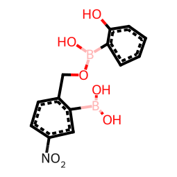 O=[N+]([O-])c1ccc(COB(O)c2ccccc2O)c(B(O)O)c1